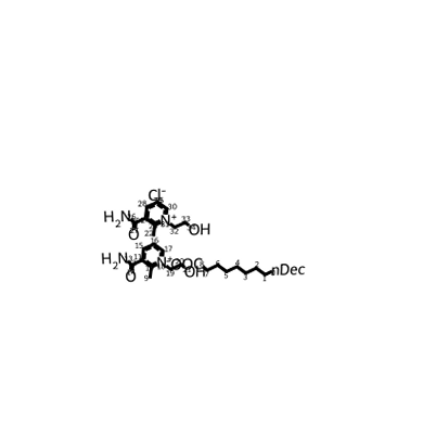 CCCCCCCCCCCCCCCCCC(=O)[O-].Cc1c(C(N)=O)ccc[n+]1CCO.Cc1c(C(N)=O)ccc[n+]1CCO.[Cl-]